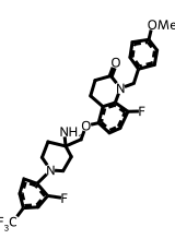 COc1ccc(CN2C(=O)CCc3c(OCC4(N)CCN(c5ccc(C(F)(F)F)cc5F)CC4)ccc(F)c32)cc1